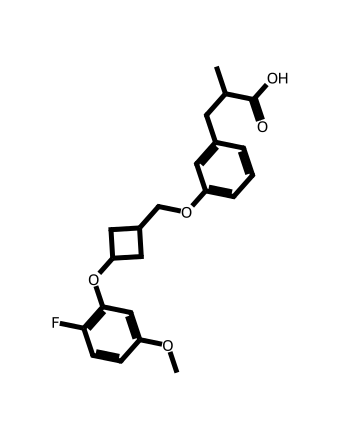 COc1ccc(F)c(OC2CC(COc3cccc(CC(C)C(=O)O)c3)C2)c1